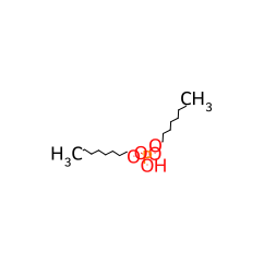 CCCCCCCCOOP(O)OOCCCCCCCC